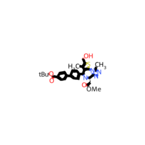 COC(=O)C[C@@H]1N=C(c2ccc(-c3ccc(C(=O)OC(C)(C)C)cc3)cc2)c2c(sc(CO)c2C)-n2c(C)nnc21